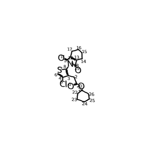 O=C(Cc1c(Cl)csc1N1C(=O)C2=C(CCCC2)C1=O)OC1CCCCC1